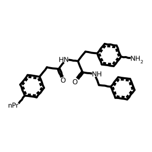 CCCc1ccc(CC(=O)NC(Cc2ccc(N)cc2)C(=O)NCc2ccccc2)cc1